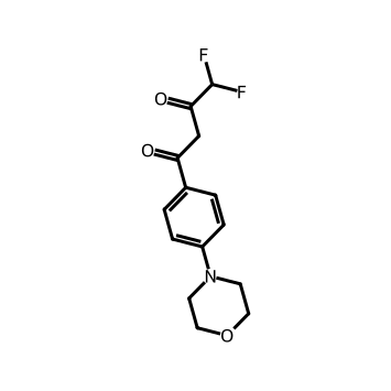 O=C(CC(=O)C(F)F)c1ccc(N2CCOCC2)cc1